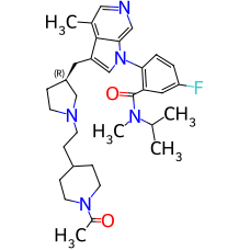 CC(=O)N1CCC(CCN2CC[C@@H](Cc3cn(-c4ccc(F)cc4C(=O)N(C)C(C)C)c4cncc(C)c34)C2)CC1